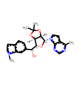 Cc1ncnc2c1ccn2[C@@H]1O[C@H]([C@H](O)c2ccc3ccn(C)c3c2)[C@H]2OC(C)(C)O[C@H]21